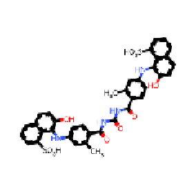 Cc1cc(Nc2c(O)ccc3cccc(S(=O)(=O)O)c23)ccc1C(=O)NC(=O)NC(=O)c1ccc(Nc2c(O)ccc3cccc(S(=O)(=O)O)c23)cc1C